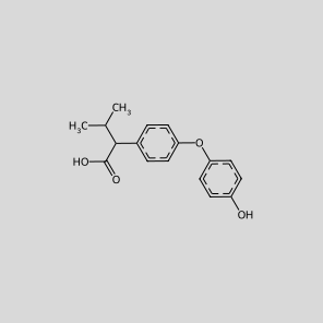 CC(C)C(C(=O)O)c1ccc(Oc2ccc(O)cc2)cc1